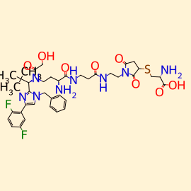 CC(C)(C)[C@H](c1nc(-c2cc(F)ccc2F)cn1Cc1ccccc1)N(CC[C@H](N)C(=O)NCCC(=O)NCCN1C(=O)CC(SC[C@H](N)C(=O)O)C1=O)C(=O)CO